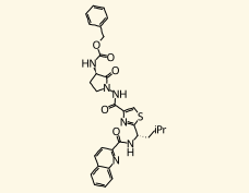 CC(C)C[C@H](NC(=O)c1ccc2ccccc2n1)c1nc(C(=O)NN2CC[C@@H](NC(=O)OCc3ccccc3)C2=O)cs1